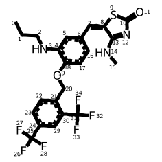 CCCNc1cc(C=C2SC(=O)N=C2NC)ccc1OCc1ccc(C(F)(F)F)cc1C(F)(F)F